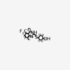 Cc1ccc(C(F)(F)F)c2c(=O)[nH]c(CSC3CCC(O)CC3)nc12